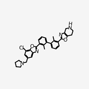 Cc1c(-c2nc3c(o2)CCNC3)cccc1-c1cccc(-c2nc3cc(CN4CCCC4)cc(Cl)c3o2)c1C